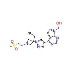 CS(=O)(=O)CCN1CC(CC#N)(n2cc(-c3ncnc4c3ccn4CO)cn2)C1